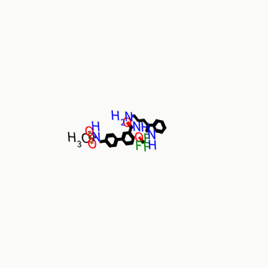 CS(=O)(=O)NCc1ccc(-c2ccc(OC(F)(F)F)c(C(=O)NC(CN)Cc3c[nH]c4ccccc34)c2)cc1